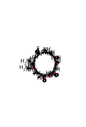 CCCC[C@H]1C(=O)N(C)[C@@H](CCCC)C(=O)N[C@@H](CCCNC(=N)N)C(=O)N[C@@H](C(=O)NCC(N)=O)CSCC(=O)N[C@@H](Cc2ccc(F)cc2)C(=O)N(C)[C@@H](C)C(=O)N[C@@H](CC(N)=O)C(=O)N2CCC[C@H]2C(=O)N[C@@H](Cc2cnc[nH]2)C(=O)N[C@@H](CC(C)C)C(=O)N(C)CC(=O)N[C@@H](Cc2c[nH]c3ccccc23)C(=O)N[C@@H](CO)C(=O)N[C@@H](Cc2c[nH]c3ccccc23)C(=O)N1C